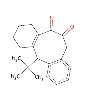 CC(C)(C)C1C2=C(CCCC2)C(=O)C(=O)Cc2ccccc21